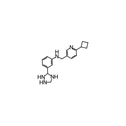 c1cc(NCc2ccc(C3CCC3)nc2)cc(C2NCNN2)c1